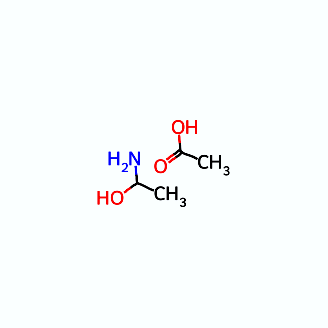 CC(=O)O.CC(N)O